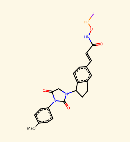 COc1ccc(N2C(=O)CN(C3CCc4cc(/C=C/C(=O)NOPI)ccc43)C2=O)cc1